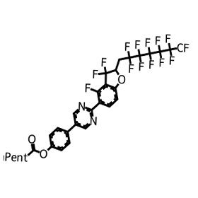 CCCCCC(=O)Oc1ccc(-c2cnc(-c3ccc4c(c3F)C(F)(F)C(CC(F)(F)C(F)(F)C(F)(F)C(F)(F)C(F)(F)C(F)(F)F)O4)nc2)cc1